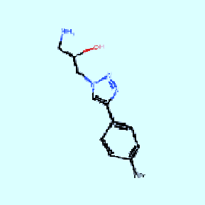 CCCc1ccc(-c2cn(C[C@H](O)CN)nn2)cc1